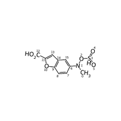 CN(O[SH](=O)=O)c1ccc2oc(C(=O)O)cc2c1